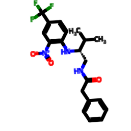 CC(C)[C@H](CNC(=O)Cc1ccccc1)Nc1ccc(C(F)(F)F)cc1[N+](=O)[O-]